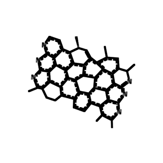 Cc1nc2nc3c4c5c(cc(C)c6c7c8c9c(c%10ccnc%11nc%12nc(C)c%13c%14c%15c(c%16ccc%17c(c1C)c2c4c1c%17c%16c(c%15c9c(c%11%10)c%12%14)c8c1c65)CC%13)[C@@H](C)C=7)C(C)N=3